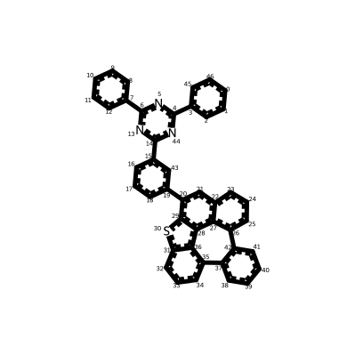 c1ccc(-c2nc(-c3ccccc3)nc(-c3cccc(-c4cc5cccc6c5c5c4sc4cccc(c45)-c4ccccc4-6)c3)n2)cc1